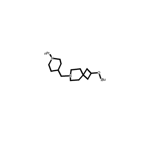 CCCN1CCC(CN2CCC3(CC2)CC(OC(C)CC)C3)CC1